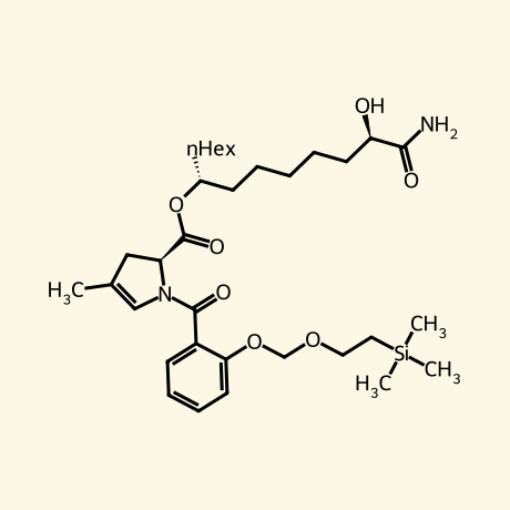 CCCCCC[C@H](CCCCC[C@@H](O)C(N)=O)OC(=O)[C@@H]1CC(C)=CN1C(=O)c1ccccc1OCOCC[Si](C)(C)C